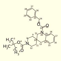 CC(C)(C)OC(=O)N1CCC2(CC1)Cc1ccccc1N(C(=O)OCc1ccccc1)C2